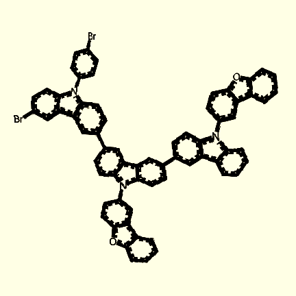 Brc1ccc(-n2c3ccc(Br)cc3c3cc(-c4ccc5c(c4)c4cc(-c6ccc7c(c6)c6ccccc6n7-c6ccc7oc8ccccc8c7c6)ccc4n5-c4ccc5oc6ccccc6c5c4)ccc32)cc1